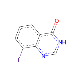 O=c1[nH]cnc2c(I)cccc12